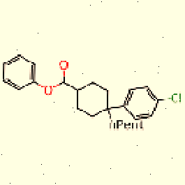 CCCCCC1(c2ccc(Cl)cc2)CCC(C(=O)Oc2ccccc2)CC1